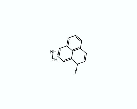 CN.FC1C=Cc2cccc3cccc1c23